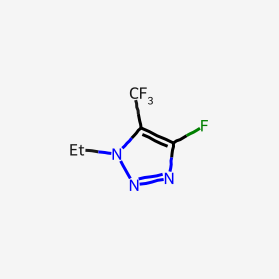 CCn1nnc(F)c1C(F)(F)F